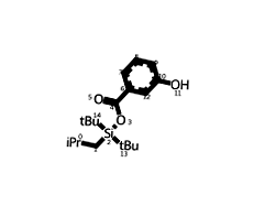 CC(C)C[Si](OC(=O)c1cccc(O)c1)(C(C)(C)C)C(C)(C)C